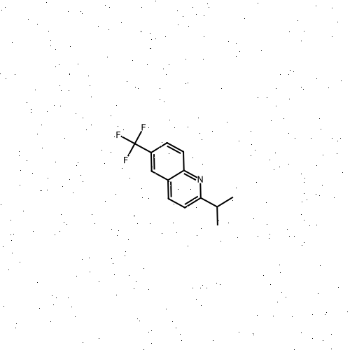 CC(C)c1ccc2cc(C(F)(F)F)ccc2n1